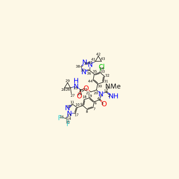 CNC(=N)N(C(=O)c1ccc(-c2cnn(C(F)F)c2)cc1)C(COC(=O)NC1(C)CC1)c1ccc(Cl)c(-c2ncnn2C2CC2)c1